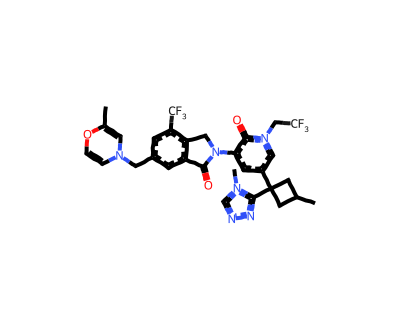 CC1=CN(Cc2cc3c(c(C(F)(F)F)c2)CN(c2cc(C4(c5nncn5C)CC(C)C4)cn(CC(F)(F)F)c2=O)C3=O)C=CO1